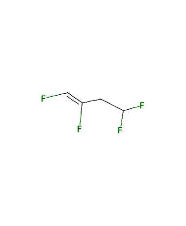 F/C=C(\F)CC(F)F